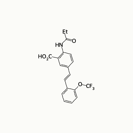 CCC(=O)Nc1ccc(C=Cc2ccccc2OC(F)(F)F)cc1C(=O)O